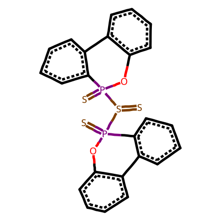 S=S(P1(=S)Oc2ccccc2-c2ccccc21)P1(=S)Oc2ccccc2-c2ccccc21